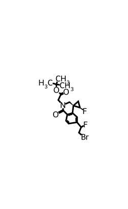 CC(C)(C)OC(=O)CN1C[C@]2(C[C@H]2F)c2cc(C(F)CBr)ccc2C1=O